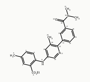 CCOC(=O)c1cc(C)ccc1Nc1cnc(-c2cccc(C(=O)N(C)C)c2)c(C)c1